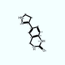 O=C1NCc2cc(C3=NNCC3)ccc2N1